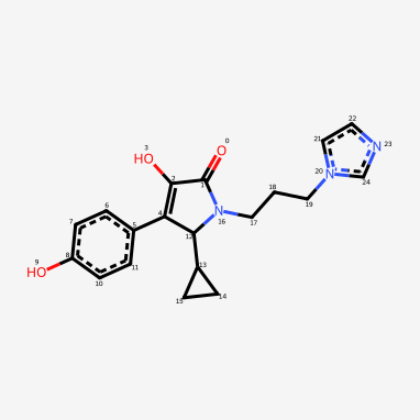 O=C1C(O)=C(c2ccc(O)cc2)C(C2CC2)N1CCCn1ccnc1